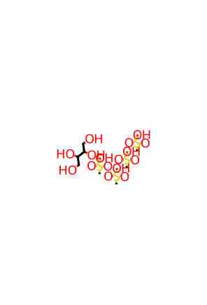 CS(=O)(=O)O.CS(=O)(=O)O.CS(=O)(=O)O.CS(=O)(=O)O.OCC(O)C(O)CO